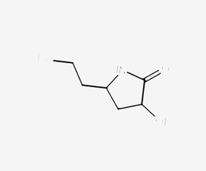 CCCC1CC(O)C(=O)N1